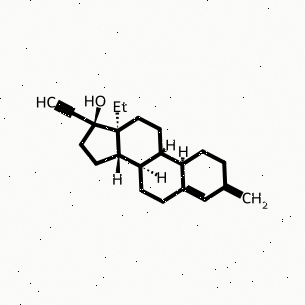 C#C[C@@]1(O)CC[C@H]2[C@@H]3CCC4=CC(=C)CC[C@@H]4[C@H]3CC[C@@]21CC